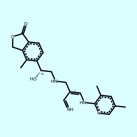 Cc1cnc(N/C=C(\C=N)CNC[C@H](O)c2ccc3c(c2C)COC3=O)c(C)c1